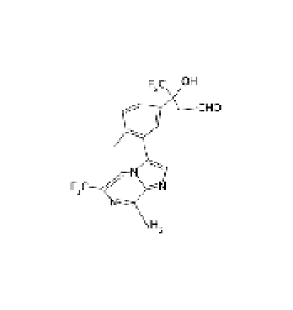 Cc1ccc(C(O)(CC=O)C(F)(F)F)cc1-c1cnc2c(N)nc(C(F)(F)F)cn12